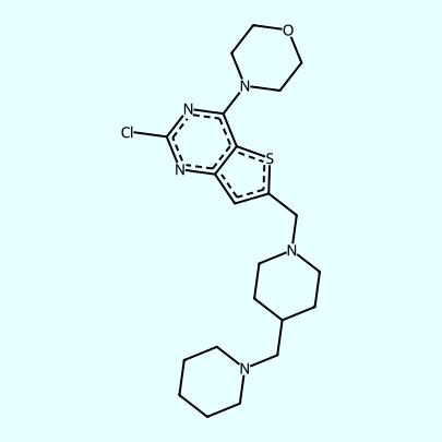 Clc1nc(N2CCOCC2)c2sc(CN3CCC(CN4CCCCC4)CC3)cc2n1